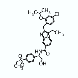 CCc1c(Cc2ccc(Cl)cc2OC(C)C)nc2cc(C(=O)N[C@@H](CO)c3ccc(S(=O)(=O)CC)cc3)ccn12